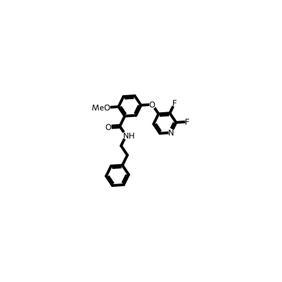 COc1ccc(Oc2ccnc(F)c2F)cc1C(=O)NCCc1ccccc1